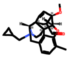 CO[C@]12C=C[C@@]3(C[C@@H]1C=O)[C@H]1Cc4ccc(C)c5c4[C@@]3(CCN1CC1CC1)[C@H]2O5